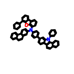 c1ccc(-c2cccc3c2oc2c(N(c4ccc(-c5ccc6c7ccc8ccccc8c7n(-c7ccccc7)c6c5)cc4)c4ccc5c(ccc6ccccc65)c4)cccc23)cc1